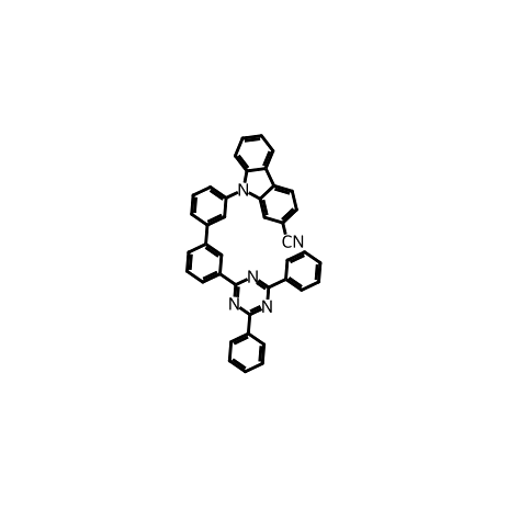 N#Cc1ccc2c3ccccc3n(-c3cccc(-c4cccc(-c5nc(-c6ccccc6)nc(-c6ccccc6)n5)c4)c3)c2c1